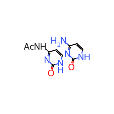 CC(=O)Nc1cc[nH]c(=O)n1.Nc1cc[nH]c(=O)n1